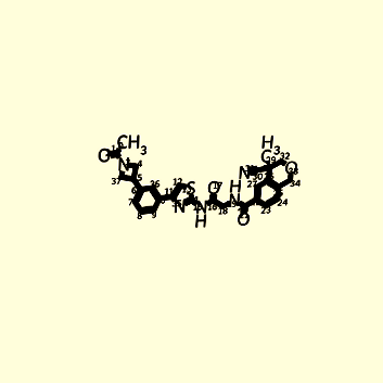 CC(=O)N1CC(c2cccc(-c3csc(NC(=O)CNC(=O)c4ccc5c(c4)[C@](C)(C#N)COC5)n3)c2)C1